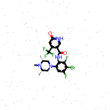 C[C@@H]1CN(c2cc(F)c(Br)c(F)c2NC(=O)c2c[nH]c(=O)cc2C(F)(F)F)C[C@H](C)N1C